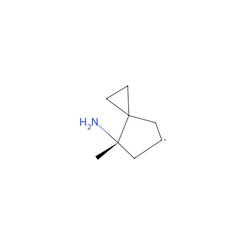 C[C@]1(N)C[CH]CC12CC2